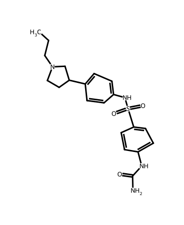 CCCN1CCC(c2ccc(NS(=O)(=O)c3ccc(NC(N)=O)cc3)cc2)C1